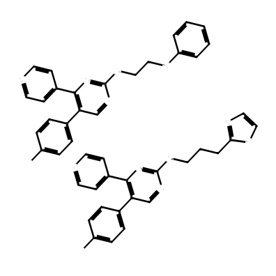 Fc1ccc(-c2cnc(NCCCc3ncc[nH]3)nc2-c2ccncc2)cc1.Fc1ccc(-c2cnc(NCCNc3ccccc3)nc2-c2ccncc2)cc1